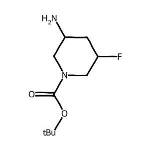 CC(C)(C)OC(=O)N1CC(N)CC(F)C1